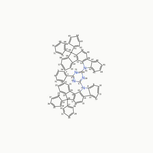 c1ccc(-c2nc(-n3c4ccccc4c4ccc5c(c43)-c3ccccc3C5(c3ccccc3)c3ccccc3)nc(-n3c4ccccc4c4ccc5c(c43)-c3ccccc3C5(c3ccccc3)c3ccccc3)n2)cc1